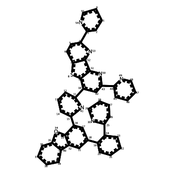 c1ccc(-c2ccc3sc4c(-c5cccc(-c6cc(-c7ccccc7-c7ccccn7)cc7c6oc6ccccc67)n5)cc(-c5ccccn5)nc4c3n2)nc1